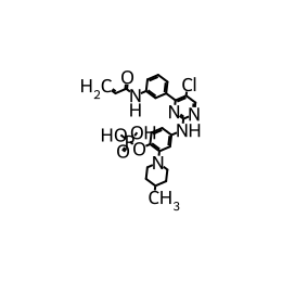 C=CC(=O)Nc1cccc(-c2nc(Nc3ccc(OP(=O)(O)O)c(N4CCC(C)CC4)c3)ncc2Cl)c1